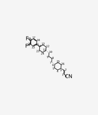 N#CC=C[C@H]1CC[C@H](CCCC[C@H]2CC[C@H](c3ccc(F)c(F)c3)CC2)CC1